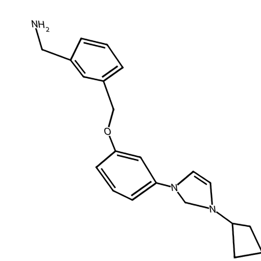 NCc1cccc(COc2cccc(N3C=CN(C4CCC4)C3)c2)c1